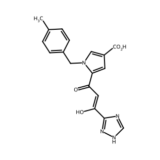 Cc1ccc(Cn2cc(C(=O)O)cc2C(=O)C=C(O)c2nc[nH]n2)cc1